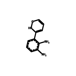 Nc1cccc(C2=CC=CON2)c1N